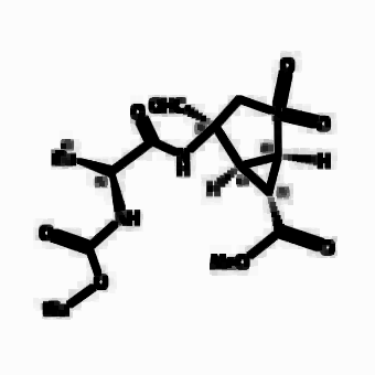 CC[C@H](C)[C@H](NC(=O)OC(C)(C)C)C(=O)N[C@@]1(C=O)CS(=O)(=O)[C@H]2[C@H](C(=O)OC)[C@H]21